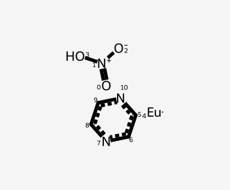 O=[N+]([O-])O.[Eu].c1cnccn1